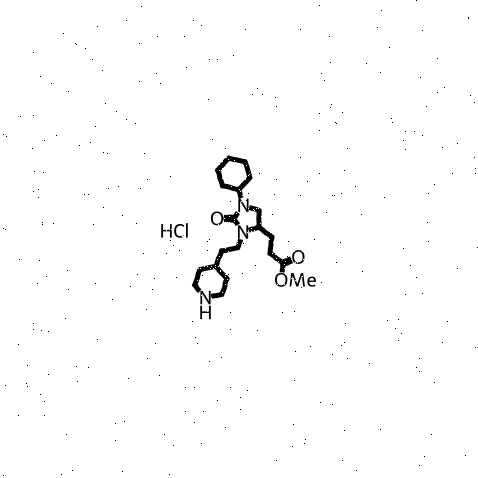 COC(=O)CCC1CN(C2CCCCC2)C(=O)N1CCC1CCNCC1.Cl